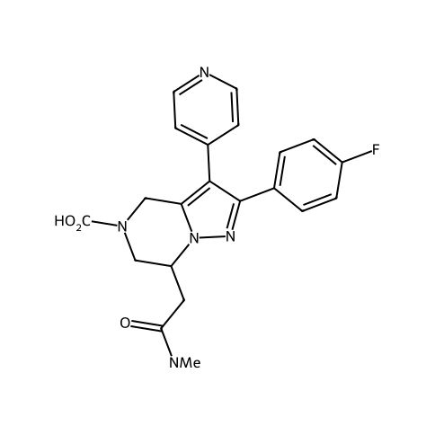 CNC(=O)CC1CN(C(=O)O)Cc2c(-c3ccncc3)c(-c3ccc(F)cc3)nn21